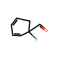 O=CC1(F)C=CC=CC1